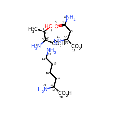 C[C@@H](O)[C@H](N)C(=O)O.NC(=O)C[C@H](N)C(=O)O.NCCCC[C@H](N)C(=O)O